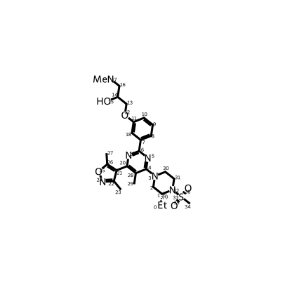 CC[C@@H]1CN(c2nc(-c3cccc(OCC(O)CNC)c3)nc(-c3c(C)noc3C)c2C)CCN1S(C)(=O)=O